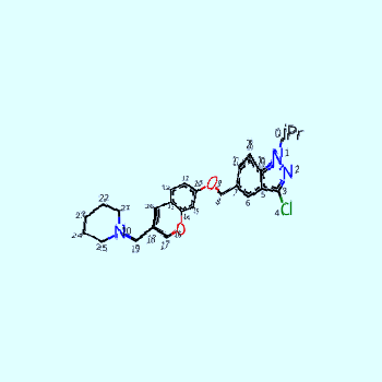 CC(C)n1nc(Cl)c2cc(COc3ccc4c(c3)OCC(CN3CCCCC3)=C4)ccc21